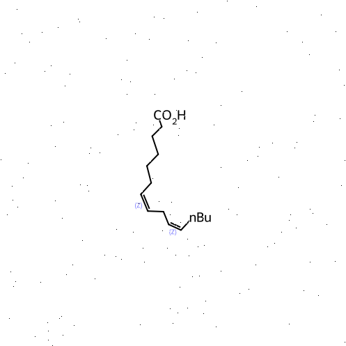 CCCC/C=C\C/C=C\CCCCCC(=O)O